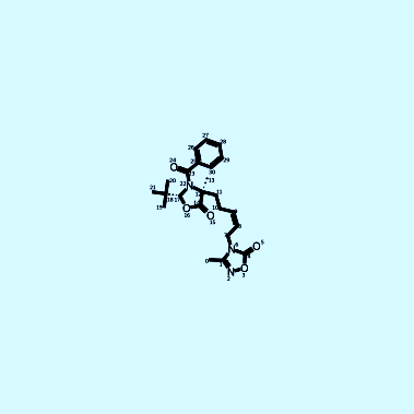 Cc1noc(=O)n1C/C=C\CC[C@@]1(C)C(=O)O[C@H](C(C)(C)C)N1C(=O)c1ccccc1